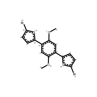 COc1cc(-c2ccc(Br)s2)c(OC)cc1-c1ccc(Br)s1